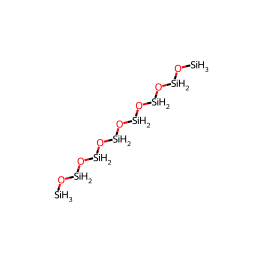 [SiH3]O[SiH2]O[SiH2]O[SiH2]O[SiH2]O[SiH2]O[SiH2]O[SiH3]